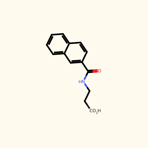 O=C(O)CCNC(=O)c1ccc2ccccc2c1